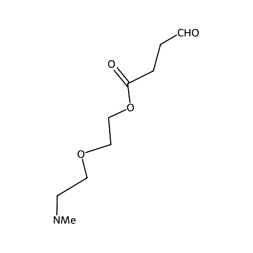 CNCCOCCOC(=O)CCC=O